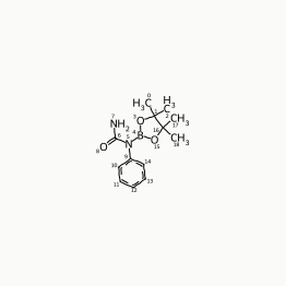 CC1(C)OB(N(C(N)=O)c2ccccc2)OC1(C)C